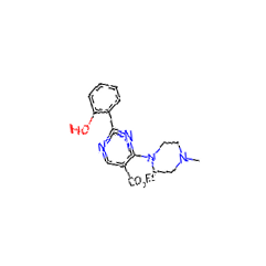 CCOC(=O)c1cnc(-c2ccccc2O)nc1N1CCN(C)CC1